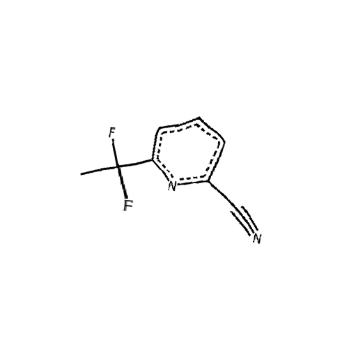 CC(F)(F)c1cccc(C#N)n1